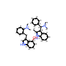 CN(C)c1ccccc1Cc1c[nH]c2cccc(O)c12.Cc1[nH]c2ccccc2c1C(c1ccccc1)N(C)C